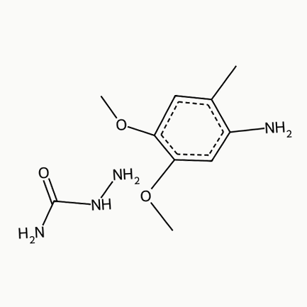 COc1cc(C)c(N)cc1OC.NNC(N)=O